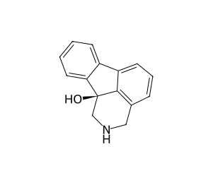 O[C@]12CNCc3cccc(c31)-c1ccccc12